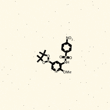 COc1ncc(B2OC(C)(C)C(C)(C)O2)cc1NS(=O)(=O)c1ccc([N+](=O)[O-])cc1